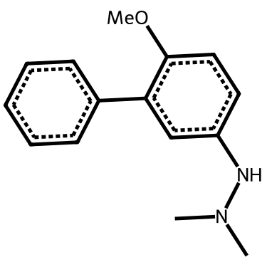 COc1ccc(NN(C)C)cc1-c1ccccc1